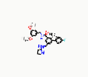 COc1cc(CNC(=O)c2cc(CNC3=NCCC3)cc(-c3ccc(F)cc3C)c2)cc(OC)c1